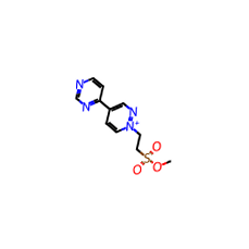 COS(=O)(=O)CC[n+]1ccc(-c2ccncn2)cn1